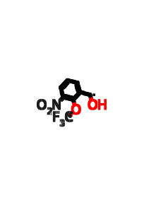 O=[N+]([O-])c1cccc([CH]O)c1OC(F)(F)F